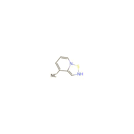 N#CC1=CC=CN2SNC=C12